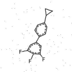 Fc1cc(-c2ccc(C3CC3)cc2)cc(F)c1F